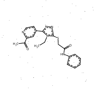 CCn1c(SCC(=O)Nc2ccccc2)nnc1-c1ccnc(C(C)=O)c1